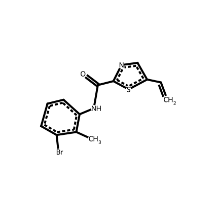 C=Cc1cnc(C(=O)Nc2cccc(Br)c2C)s1